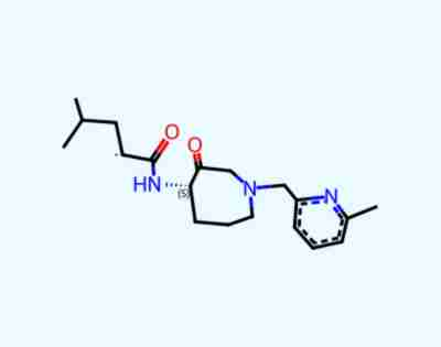 Cc1cccc(CN2CCC[C@H](NC(=O)[CH]CC(C)C)C(=O)C2)n1